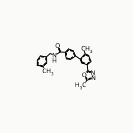 Cc1cccc(CNC(=O)c2ccc(-c3cc(-c4nnc(C)o4)ccc3C)cc2)c1